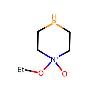 CCO[N+]1([O-])CCPCC1